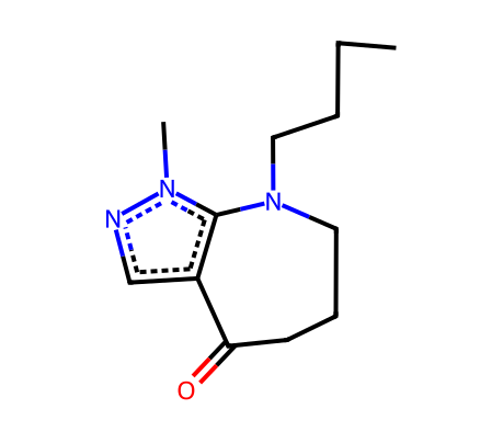 CCCCN1CCCC(=O)c2cnn(C)c21